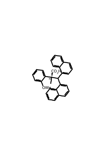 COc1ccccc1[C@](C)(C(=O)O)C(c1cccc2ccccc12)c1cccc2ccccc12